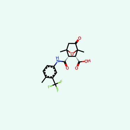 Cc1ccc(NC(=O)[C@H]2[C@@H](C(=O)O)C3(C)OC2(C)CC3=O)cc1C(F)(F)F